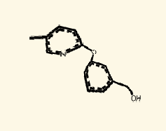 Cc1ccc(Oc2cccc(CO)c2)nc1